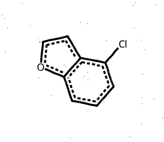 Clc1cccc2o[c]cc12